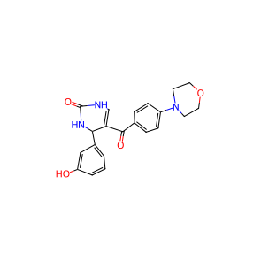 O=C1NC=C(C(=O)c2ccc(N3CCOCC3)cc2)C(c2cccc(O)c2)N1